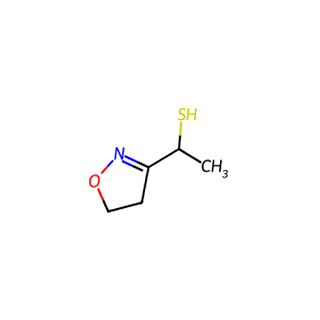 CC(S)C1=NOCC1